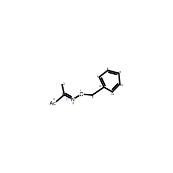 CC(=O)/C(C)=N/OCc1ccccc1